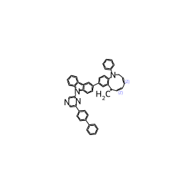 C=C1/C=C\C=C/CN(c2ccccc2)c2ccc(-c3ccc4c(c3)c3ccccc3n4-c3cncc(-c4ccc(-c5ccccc5)cc4)n3)cc21